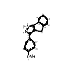 COc1ccc(-c2n[nH]c3c2Cc2ccccc2-3)cc1